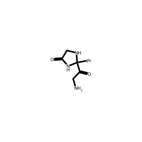 CC(C)C1(C(=O)CN)NCC(=O)N1